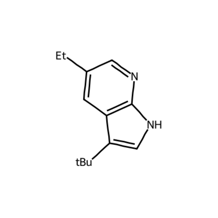 CCc1cnc2[nH]cc(C(C)(C)C)c2c1